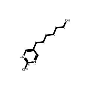 OCCCCCCc1cnc(Cl)nc1